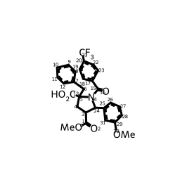 COC(=O)C1CC(Cc2ccccc2)(C(=O)O)N(C(=O)c2ccc(C(F)(F)F)cc2)C1c1cccc(OC)c1